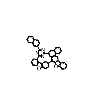 c1ccc2cc(-c3nc(-c4ccc5ccccc5c4)nc(-c4cccc5oc6ccc(-c7cccc8c7oc7ccccc78)cc6c45)n3)ccc2c1